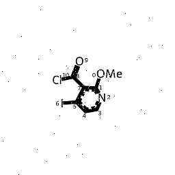 COc1nccc(I)c1C(=O)Cl